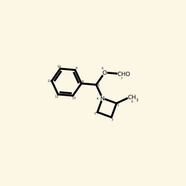 CC1CCN1C(OC=O)c1ccccc1